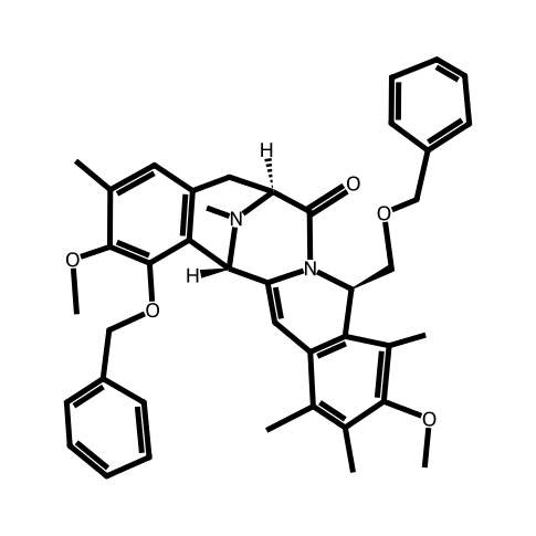 COc1c(C)c(C)c2c(c1C)[C@H](COCc1ccccc1)N1C(=O)[C@@H]3Cc4cc(C)c(OC)c(OCc5ccccc5)c4[C@@H](C1=C2)N3C